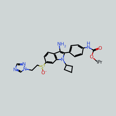 CC(C)OC(=O)Nc1ccc(-c2c(N)c3ccc([S+]([O-])CCn4cncn4)cc3n2C2CCC2)cc1